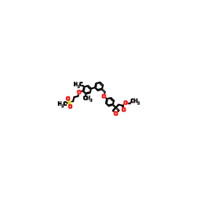 CCOC(=O)CC1(c2ccc(OCc3cccc(-c4cc(C)c(OCCCS(C)(=O)=O)c(C)c4)c3)cc2)COC1